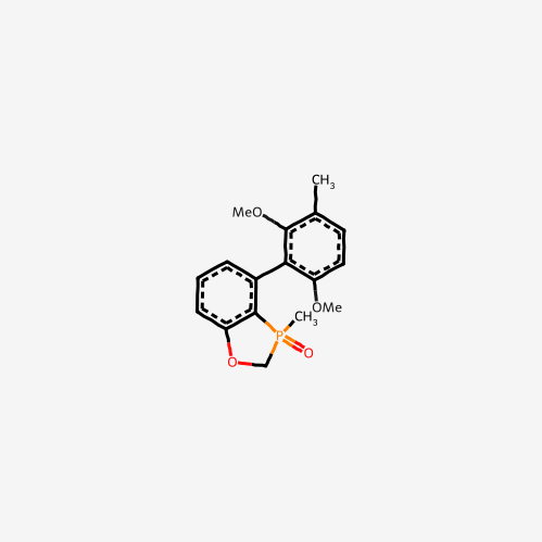 COc1ccc(C)c(OC)c1-c1cccc2c1P(C)(=O)CO2